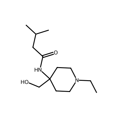 CCN1CCC(CO)(NC(=O)CC(C)C)CC1